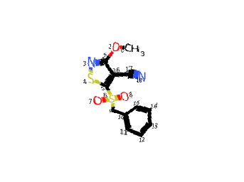 COc1nsc(S(=O)(=O)Cc2ccccc2)c1C#N